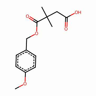 COc1ccc(COC(=O)C(C)(C)CC(=O)O)cc1